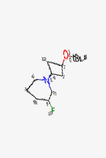 CC(C)(C)OC1CC(N2CCCC(F)C2)C1